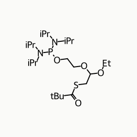 CCOC(CSC(=O)C(C)(C)C)OCCOP(N(C(C)C)C(C)C)N(C(C)C)C(C)C